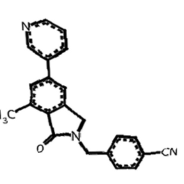 Cc1cc(-c2cccnc2)cc2c1C(=O)N(Cc1ccc(C#N)cc1)C2